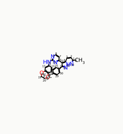 Cc1ccc2c(-c3ccnc(Nc4ccc5c(c4)OCCO5)n3)c(-c3ccc(C(F)(F)F)cc3)nn2n1